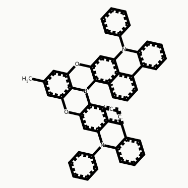 Cc1cc2c3c(c1)Oc1cc4c5c(cccc5c1B3c1c(cc3c5c(cccc15)-c1ccccc1N3c1ccccc1)O2)-c1ccccc1N4c1ccccc1